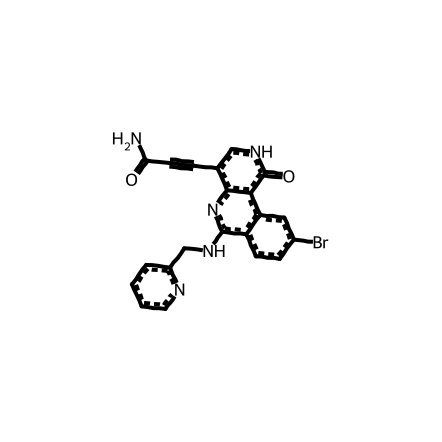 NC(=O)C#Cc1c[nH]c(=O)c2c1nc(NCc1ccccn1)c1ccc(Br)cc12